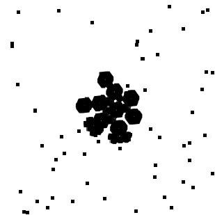 Cc1ccc(-c2ccccc2)cc1N1c2ccc(-c3ccccc3)cc2B2c3cc4c(cc3N(c3ccc5c(c3)C(C)(C)CC5(C)C)c3cc(N(c5ccccc5)c5ccccc5)cc1c32)C(C)(C)CC4(C)C